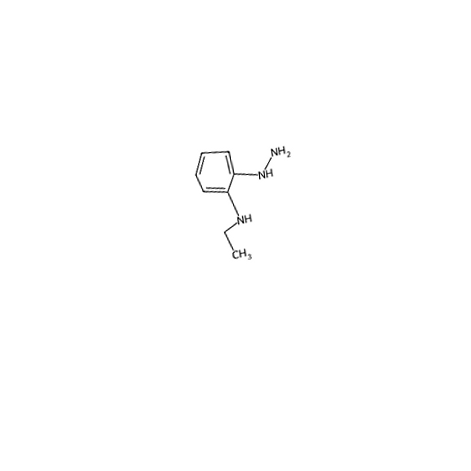 CCNc1ccccc1NN